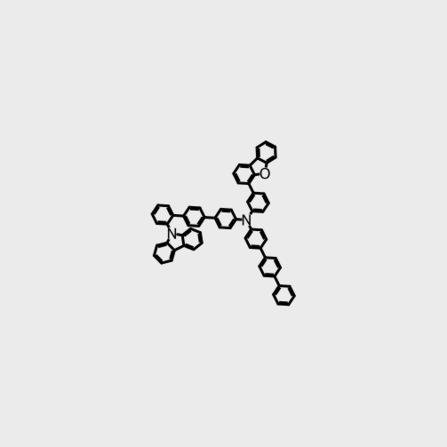 c1ccc(-c2ccc(-c3ccc(N(c4ccc(-c5ccc(-c6ccccc6-n6c7ccccc7c7ccccc76)cc5)cc4)c4cccc(-c5cccc6c5oc5ccccc56)c4)cc3)cc2)cc1